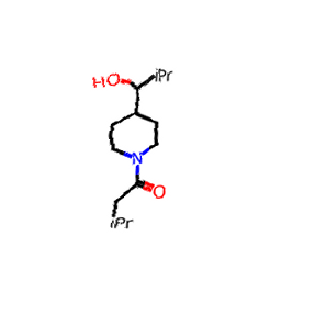 CC(C)CC(=O)N1CCC(C(O)C(C)C)CC1